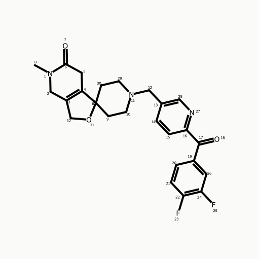 CN1CC2=C(CC1=O)C1(CCN(Cc3ccc(C(=O)c4ccc(F)c(F)c4)nc3)CC1)OC2